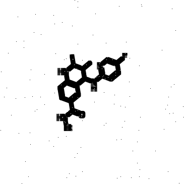 CCNC(=O)c1ccc2c(c1)C(Nc1ccc(F)cn1)C(C)C(C)N2